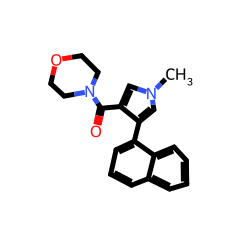 Cn1cc(C(=O)N2CCOCC2)c(-c2cccc3ccccc23)c1